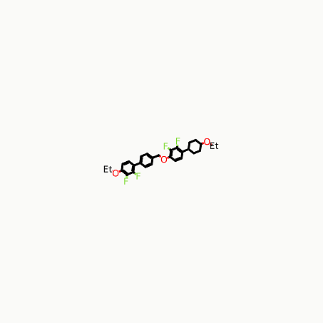 CCOc1ccc(-c2ccc(COc3ccc(C4CCC(OCC)CC4)c(F)c3F)cc2)c(F)c1F